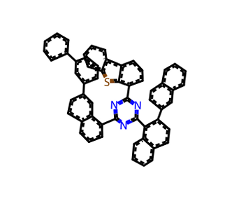 c1ccc(-c2cccc(-c3ccc4cccc(-c5nc(-c6c(-c7ccc8ccccc8c7)ccc7ccccc67)nc(-c6cccc7c6sc6ccccc67)n5)c4c3)c2)cc1